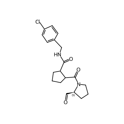 O=C[C@@H]1CCCN1C(=O)C1CCCC1C(=O)NCc1ccc(Cl)cc1